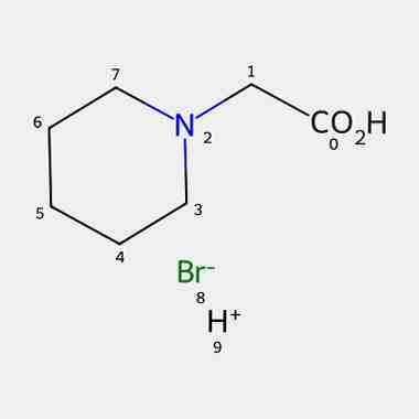 O=C(O)CN1CCCCC1.[Br-].[H+]